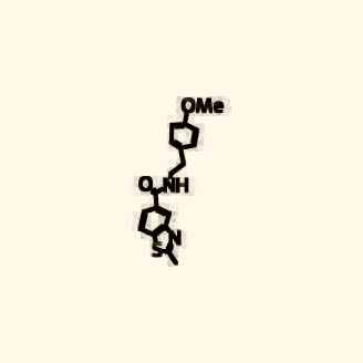 COc1ccc(CCNC(=O)c2ccc3sc(C)nc3c2)cc1